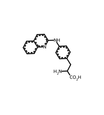 NC(Cc1ccc(Nc2ccc3ccccc3n2)cc1)C(=O)O